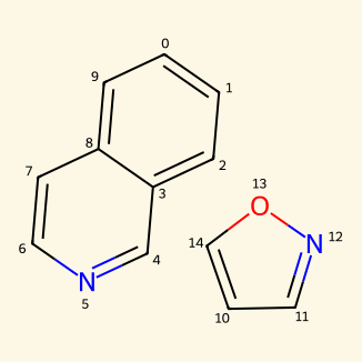 c1ccc2cnccc2c1.c1cnoc1